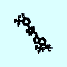 [C-]#[N+]c1ccc2c(ccn2Cc2noc(-c3ccc(F)c(C(F)(F)F)c3)n2)c1C(F)(F)F